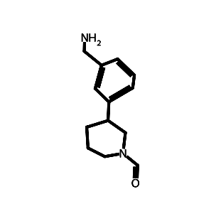 NCc1cccc(C2CCCN(C=O)C2)c1